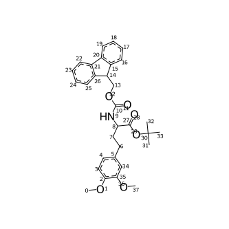 COc1ccc(CCC(NC(=O)OCC2c3ccccc3-c3ccccc32)C(=O)OC(C)(C)C)cc1OC